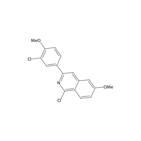 COc1ccc2c(Cl)nc(-c3ccc(OC)c(Cl)c3)cc2c1